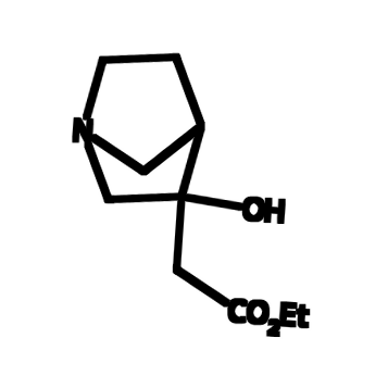 CCOC(=O)CC1(O)CN2CCC1C2